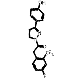 O=C(Cc1ccc(F)cc1C(F)(F)F)N1CCC(c2ccc(O)cc2)=N1